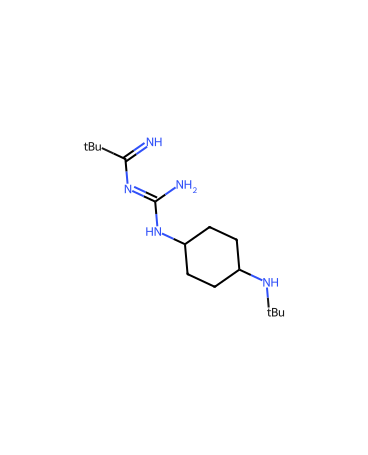 CC(C)(C)NC1CCC(N/C(N)=N/C(=N)C(C)(C)C)CC1